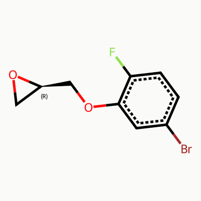 Fc1ccc(Br)cc1OC[C@H]1CO1